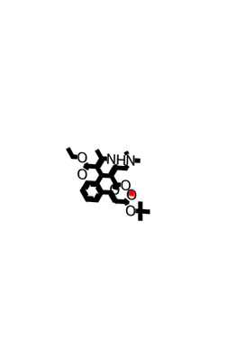 CCOC(=O)C1=C(C)NC(CN(C)C)=C(C(=O)OC)C1c1ccccc1C=CC(=O)OC(C)(C)C